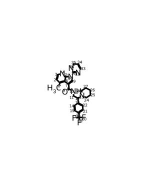 Cc1ccnc2c1c(C(=O)NCC(c1ccc(C(F)(F)F)cc1)N1CCCCC1)cn2-c1ncccn1